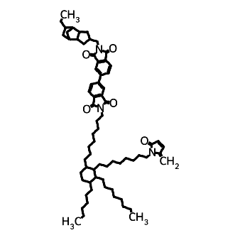 C=C1C=CC(=O)N1CCCCCCCCC1C(CCCCCCCCN2C(=O)c3ccc(-c4ccc5c(c4)C(=O)N(CC4CC6C7CC(CC)C(C7)C6C4)C5=O)cc3C2=O)CCC(CCCCCC)C1CCCCCCCC